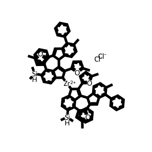 Cc1ccc(C2=Cc3c(ccc(C)c3-c3ccccc3)C2C2=C(c3ccc(C)o3)[CH]([Zr+2][CH]3C(c4ccc(C)o4)=C(C4C(c5ccc(C)o5)=Cc5c4ccc(C)c5-c4ccccc4)c4c3ccc([SiH](C)C)c4-c3ccccc3)c3ccc([SiH](C)C)c(-c4ccccc4)c32)o1.[Cl-].[Cl-]